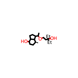 CCC(O)(CC)CCOC(C)C1CCC2C(O)CC[C@H](C)C21